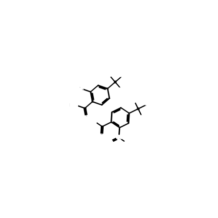 Nc1cc(C(F)(F)F)ccc1C(=O)O.O=C(O)c1ccc(C(F)(F)F)cc1[N+](=O)[O-]